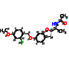 COc1ccc(COc2ccc3c(c2)O[C@H]([C@H](C)NC(C)=O)C3)c(F)c1